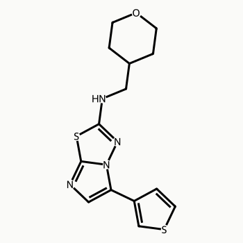 c1cc(-c2cnc3sc(NCC4CCOCC4)nn23)cs1